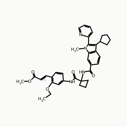 CCOc1cc(NC(=O)C2(NC(=O)c3ccc4c(C5CCCC5)c(-c5ccccn5)n(C)c4c3)CCC2)ccc1/C=C/C(=O)OC